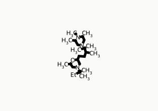 CCC(C)(C)N1CC(C)OC(CCC(C)C(C)(C)N2CC(C)N(C)C(C)C2)C1